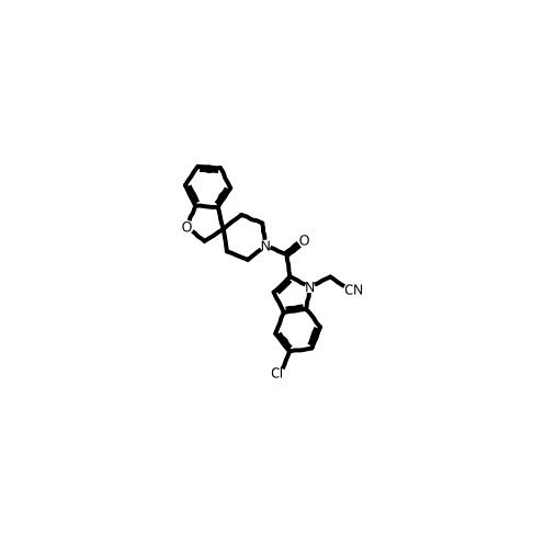 N#CCn1c(C(=O)N2CCC3(CC2)COc2ccccc23)cc2cc(Cl)ccc21